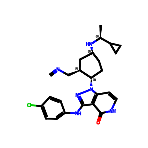 C=NC[C@H]1C[C@H](N[C@@H](C)C2CC2)CC[C@@H]1n1nc(Nc2ccc(Cl)cc2)c2c(=O)[nH]ccc21